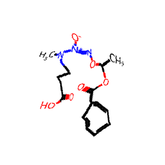 CC(O/N=[N+](/[O-])N(C)CCC(=O)O)OC(=O)c1ccccc1